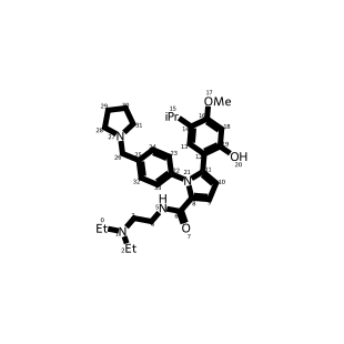 CCN(CC)CCNC(=O)c1ccc(-c2cc(C(C)C)c(OC)cc2O)n1-c1ccc(CN2CCCC2)cc1